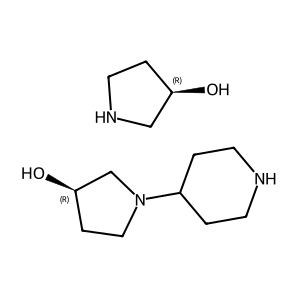 O[C@@H]1CCN(C2CCNCC2)C1.O[C@@H]1CCNC1